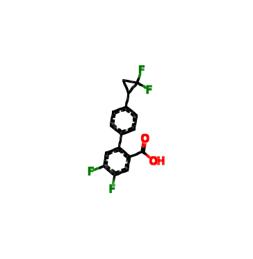 O=C(O)c1cc(F)c(F)cc1-c1ccc(C2CC2(F)F)cc1